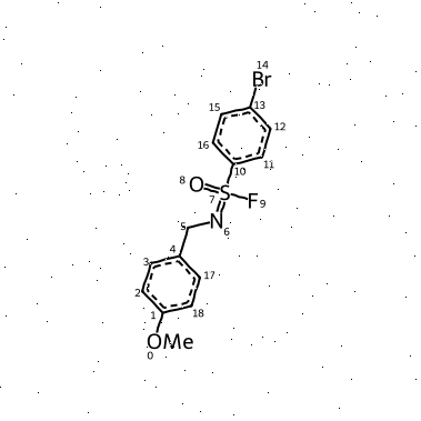 COc1ccc(CN=S(=O)(F)c2ccc(Br)cc2)cc1